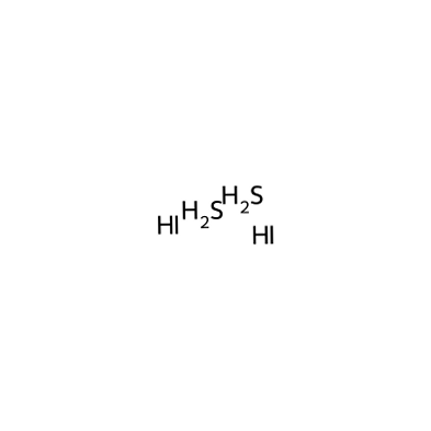 I.I.S.S